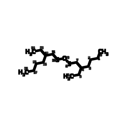 CCCCC(CC)CSOSCC(CC)CCCC